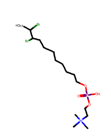 CCCCCCCCC(Br)C(Br)CCCCCCCCOP(=O)(O)OCC[N+](C)(C)C